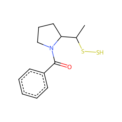 CC(SS)C1CCCN1C(=O)c1ccccc1